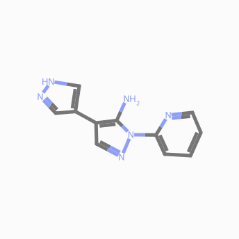 Nc1c(-c2cn[nH]c2)cnn1-c1ccccn1